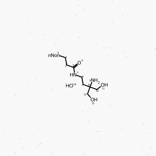 CCCCCCCCCCCC(=O)NCCC(N)(CO)CO.Cl